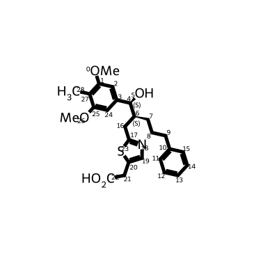 COc1cc([C@@H](O)[C@@H](CCCc2ccccc2)Cc2ncc(CC(=O)O)s2)cc(OC)c1C